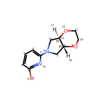 Brc1cccc(N2C[C@H]3OCCO[C@@H]3C2)n1